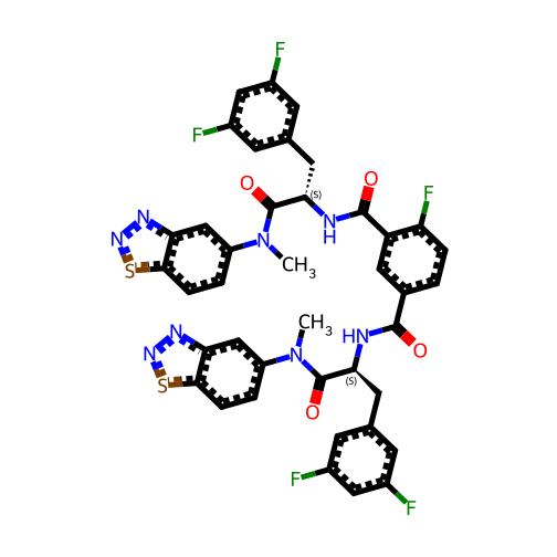 CN(C(=O)[C@H](Cc1cc(F)cc(F)c1)NC(=O)c1ccc(F)c(C(=O)N[C@@H](Cc2cc(F)cc(F)c2)C(=O)N(C)c2ccc3snnc3c2)c1)c1ccc2snnc2c1